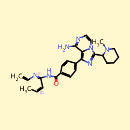 C=C/N=C(\C=C/C)NC(=O)c1ccc(-c2nc(C3CCCCN3C)n3ccnc(N)c23)cc1